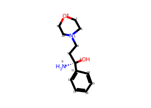 N[C@@](O)(CCN1CCOCC1)c1ccccc1